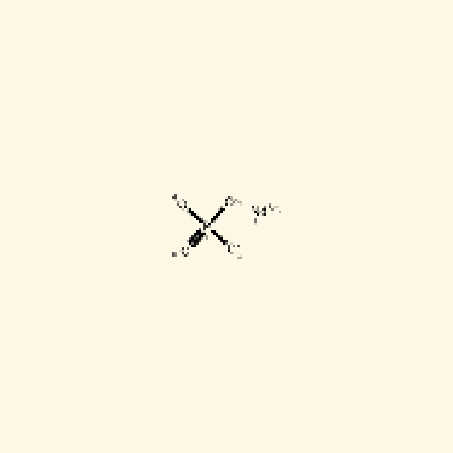 O=P([O-])([O-])[O-].[Nd+3]